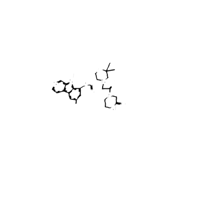 CC1(C)CN(CC(=O)N2CCNC(=O)C2)[C@H](C(=O)Nc2cc(I)cc3c2[nH]c2cnccc23)CO1